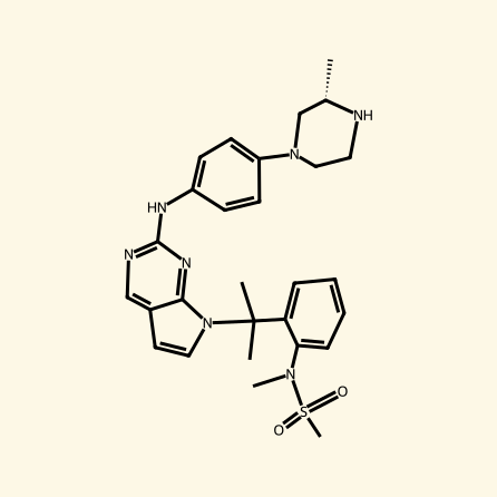 C[C@H]1CN(c2ccc(Nc3ncc4ccn(C(C)(C)c5ccccc5N(C)S(C)(=O)=O)c4n3)cc2)CCN1